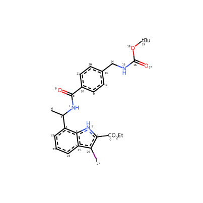 CCOC(=O)c1[nH]c2c(C(C)NC(=O)c3ccc(CNC(=O)OC(C)(C)C)cc3)cccc2c1I